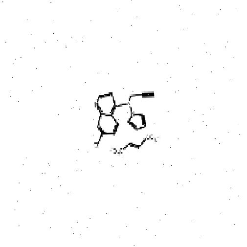 C#CCN(c1ccnc2cc(Cl)ccc12)n1cccc1.O=C(O)C=CC(=O)O